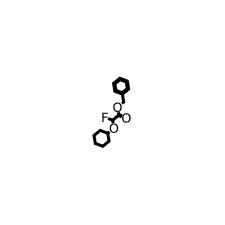 O=C(OCc1ccccc1)C(F)OC1CCCCC1